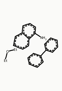 CCOCC.Nc1cccc2ccccc12.c1ccc(-c2ccccc2)cc1